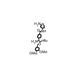 CCCCC(OCc1ccc(OC)c(OC)c1)C(N)c1ccc(C(=O)Nc2ccnc(N)c2)cc1